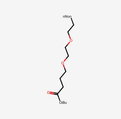 CCCCCCCCCCCOCCOCCCC(=O)OCC(C)C